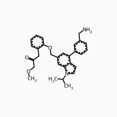 COCC(=O)Cc1ccccc1OCc1cc(-c2cccc(CN)c2)c2ccn(C(C)C)c2c1